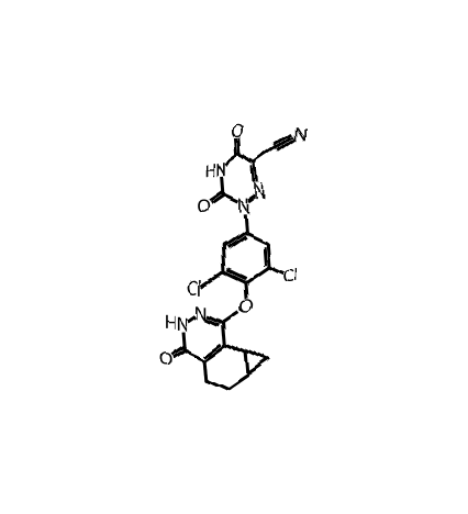 N#Cc1nn(-c2cc(Cl)c(Oc3n[nH]c(=O)c4c3C3CC3CC4)c(Cl)c2)c(=O)[nH]c1=O